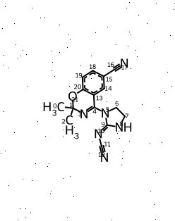 CC1(C)N=C(N2CCNC2=NC#N)c2cc(C#N)ccc2O1